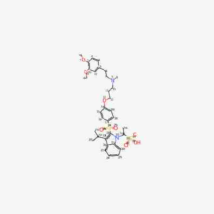 COc1ccc(CCN(C)CCCOc2ccc(S(=O)(=O)c3c(C(C)C)c4ccccc4n3C(C)S(=O)(=O)O)cc2)cc1OC